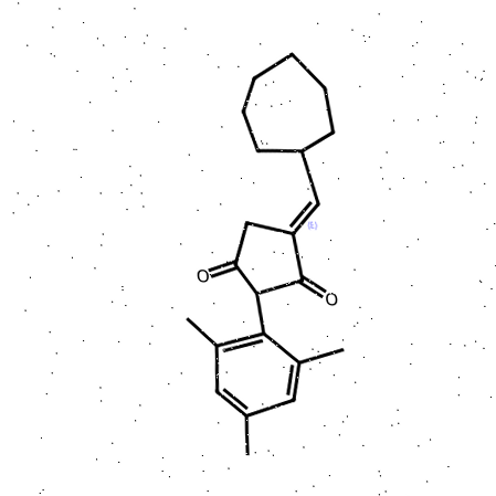 Cc1cc(C)c(C2C(=O)C/C(=C\C3CCCCCC3)C2=O)c(C)c1